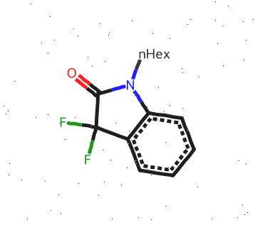 CCCCCCN1C(=O)C(F)(F)c2ccccc21